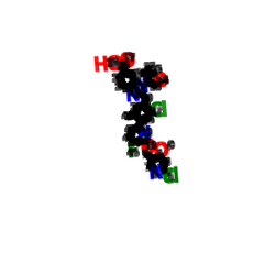 COc1cc(Cl)ncc1COc1nc(-c2cc(Cl)c(Cc3nc4ccc(C(=O)O)cc4n3[C@@H]3COCC3(C)C)cc2C)ccc1F